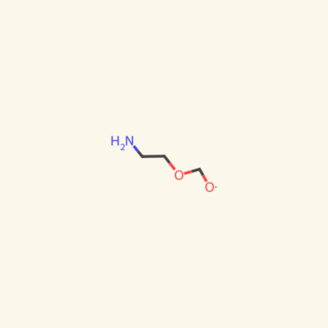 NCCOC[O]